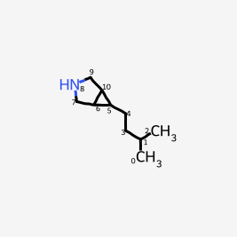 CC(C)CCC1C2CNCC12